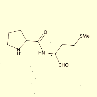 CSCCC([C]=O)NC(=O)C1CCCN1